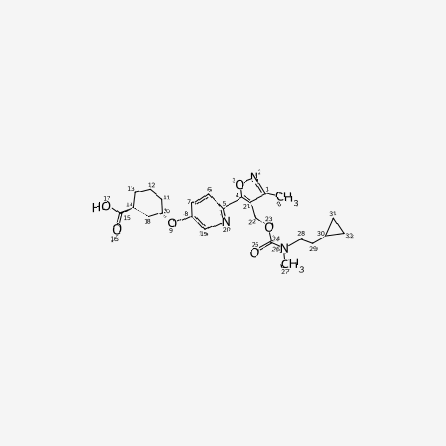 Cc1noc(-c2ccc(O[C@H]3CCC[C@H](C(=O)O)C3)cn2)c1COC(=O)N(C)CCC1CC1